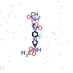 CC(=O)NC[C@H]1CN(c2ccc(N3CC4C(C3)C4NS(C)(=O)=O)c(F)c2)C(=O)O1